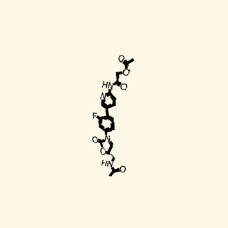 CC(=O)NC[C@H]1CN(c2ccc(-c3ccc(NC(=O)COC(C)=O)nc3)c(F)c2)C(=O)O1